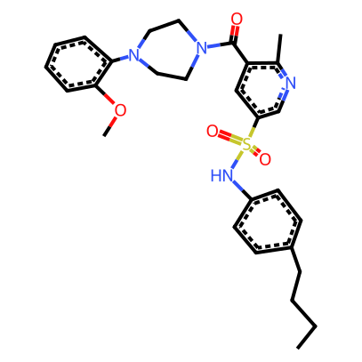 CCCCc1ccc(NS(=O)(=O)c2cnc(C)c(C(=O)N3CCN(c4ccccc4OC)CC3)c2)cc1